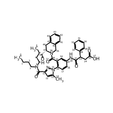 CCCCN(CCCC)C(=O)c1cc(C)n(-c2ccc(NC(=O)C(CC(=O)O)c3ccccc3)cc2C(=O)N2Cc3ccccc3C[C@H]2CO)n1